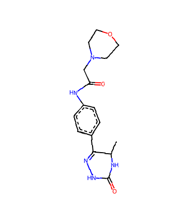 CC1NC(=O)NN=C1c1ccc(NC(=O)CN2CCOCC2)cc1